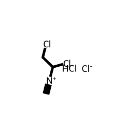 C#[N+]C(Cl)CCl.Cl.[Cl-]